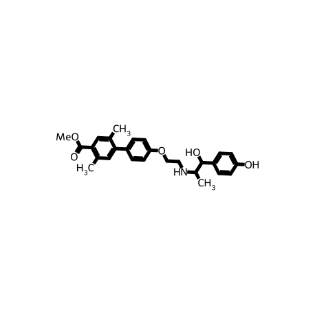 COC(=O)c1cc(C)c(-c2ccc(OCCNC(C)C(O)c3ccc(O)cc3)cc2)cc1C